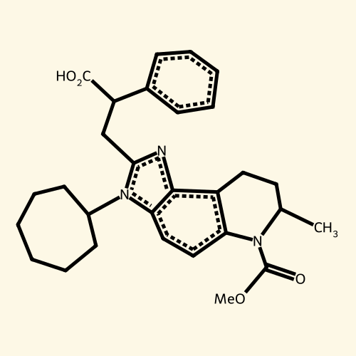 COC(=O)N1c2ccc3c(nc(CC(C(=O)O)c4ccccc4)n3C3CCCCCC3)c2CCC1C